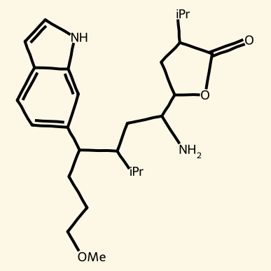 COCCCC(c1ccc2cc[nH]c2c1)C(CC(N)C1CC(C(C)C)C(=O)O1)C(C)C